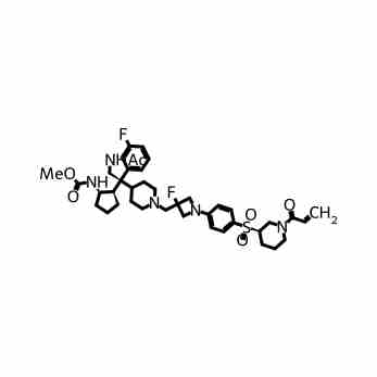 C=CC(=O)N1CCC[C@@H](S(=O)(=O)c2ccc(N3CC(F)(CN4CCC([C@@](CNC(C)=O)(c5cccc(F)c5)[C@H]5CCC[C@@H]5NC(=O)OC)CC4)C3)cc2)C1